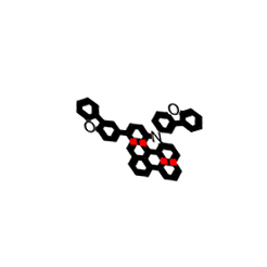 c1ccc(-c2cccc3cccc(-c4ccccc4N(c4ccc(-c5ccc6oc7ccccc7c6c5)cc4)c4ccc5oc6ccccc6c5c4)c23)cc1